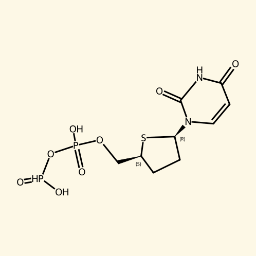 O=c1ccn([C@H]2CC[C@@H](COP(=O)(O)O[PH](=O)O)S2)c(=O)[nH]1